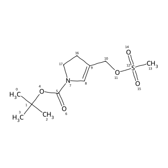 CC(C)(C)OC(=O)N1C=C(COS(C)(=O)=O)CC1